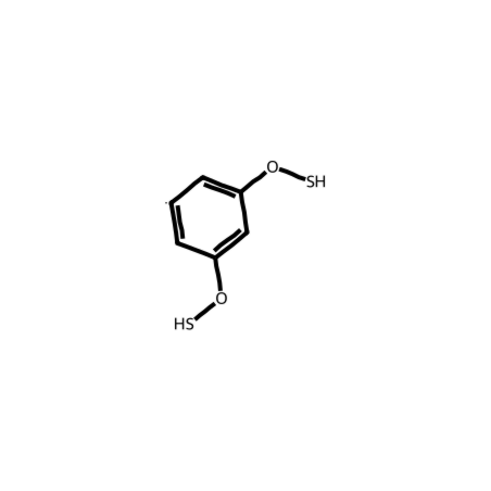 SOc1c[c]cc(OS)c1